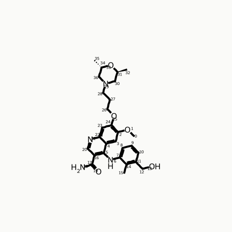 COc1cc2c(Nc3cccc(CO)c3C)c(C(N)=O)cnc2cc1OCCCN1C[C@H](C)O[C@@H](C)C1